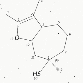 CC1=C(C)C2CCC[C@@](C)(S)CC2O1